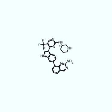 Nc1ncc2cccc(-c3ccc4c(-c5nc(N[C@H]6CCCNC6)ncc5C(F)(F)F)c[nH]c4c3)c2n1